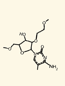 COCCOC1C(O)C(COC)OC1n1cc(C)c(N)nc1=O